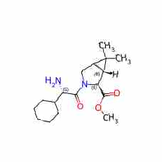 COC(=O)[C@@H]1[C@@H]2C(CN1C(=O)[C@@H](N)C1CCCCC1)C2(C)C